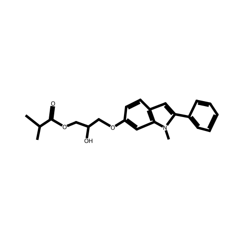 CC(C)C(=O)OCC(O)COc1ccc2cc(-c3ccccc3)n(C)c2c1